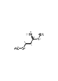 CCSC(=N)CCSC(C)=O